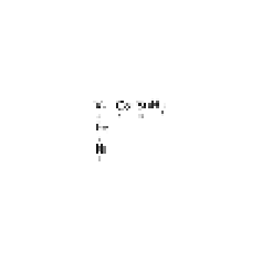 [Co].[Fe].[Ni].[SnH2].[V]